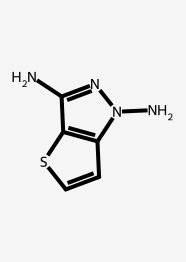 Nc1nn(N)c2ccsc12